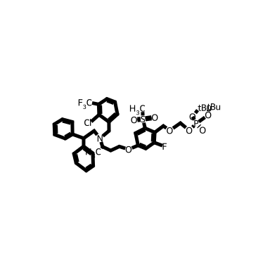 C[C@H](CCOc1cc(F)c(COCOP(=O)(OC(C)(C)C)OC(C)(C)C)c(S(C)(=O)=O)c1)N(Cc1cccc(C(F)(F)F)c1Cl)CC(c1ccccc1)c1ccccc1